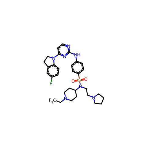 O=S(=O)(c1ccc(Nc2nccc(N3CCc4cc(F)ccc43)n2)cc1)N(CCN1CCCC1)C1CCN(CC(F)(F)F)CC1